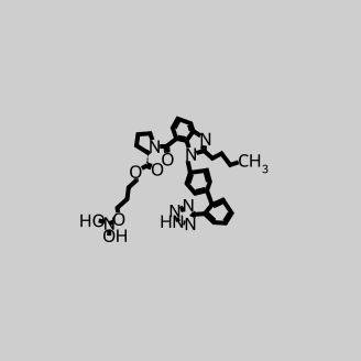 CCCCc1nc2cccc(C(=O)N3CCC[C@H]3C(=O)OCCCCON(O)O)c2n1Cc1ccc(-c2ccccc2-c2nn[nH]n2)cc1